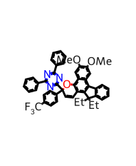 CCC1(CC)c2ccccc2-c2c1c1c(c3cc(OC)c(OC)cc23)OC(c2ccc(C(F)(F)F)cc2)(c2nc(-c3ccccc3)nc(-c3ccccc3)n2)C=C1